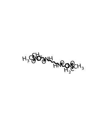 C=C(C)C(=O)N1CCC(CC(=O)NCCCCCCNC(=O)CC2CCN(C(=O)C(=C)C)CC2)CC1